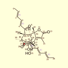 C/C=C/C=C/C(=O)[C@@H]1[C@@H]([C@]2(C)OC(=O)C(C)=C2O)C2\C(=C(O)/C=C/C=C/C)C(=O)[C@]1(C)C(=O)[C@@]2(C)O